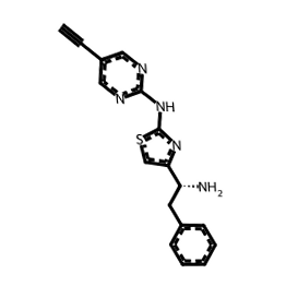 C#Cc1cnc(Nc2nc([C@H](N)Cc3ccccc3)cs2)nc1